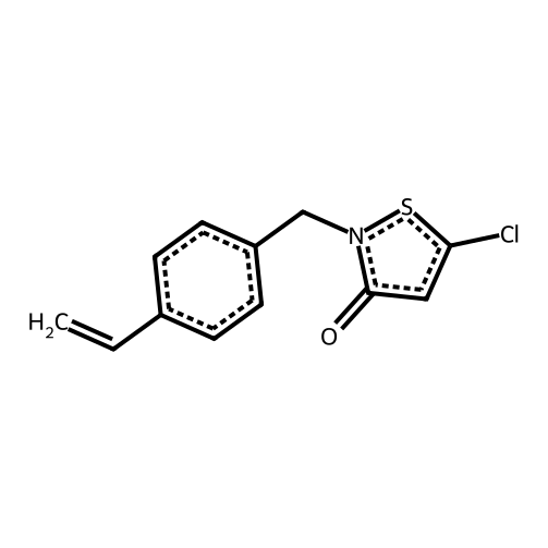 C=Cc1ccc(Cn2sc(Cl)cc2=O)cc1